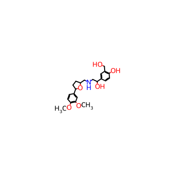 COc1ccc(C2CCC(CNCC(O)c3ccc(O)c(CO)c3)O2)cc1OC